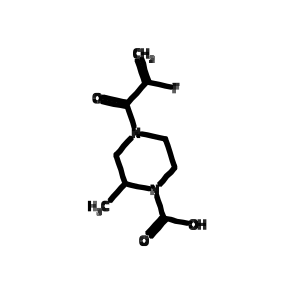 C=C(F)C(=O)N1CCN(C(=O)O)C(C)C1